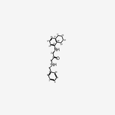 O=C(CNCc1ccccc1)CNc1cccc2c1CCCC2